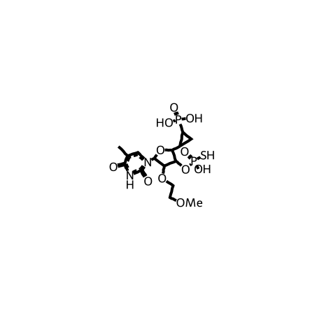 COCCOC1C(OP(=O)(O)S)C(C2CC2P(=O)(O)O)OC1n1cc(C)c(=O)[nH]c1=O